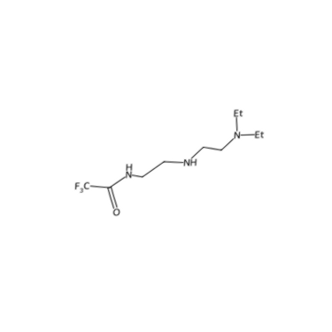 CCN(CC)CCNCCNC(=O)C(F)(F)F